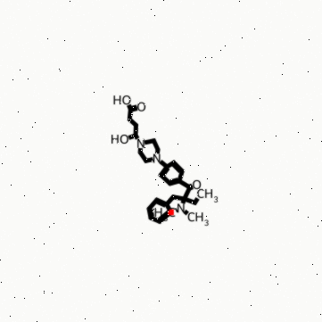 CCC(Cc1ccccc1)(C(=O)c1ccc(N2CCN(C(O)CCC(=O)O)CC2)cc1)N(C)C